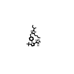 CCCCc1nc(C(C)CC)nn1Cc1ccc(-n2c(-c3nnn[nH]3)ccc2C(C)(C)C)cc1